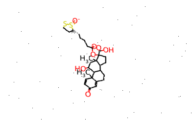 CC12C=CC(=O)C=C1CCC1C2C(O)CC2(C)C1CCC2(OC(=O)CCCC[C@@H]1CCS[S+]1[O-])C(=O)O